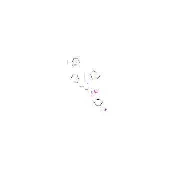 O=C(NS(=O)(=O)c1ccc([N+](=O)[O-])cc1)/C(=C/c1ccc(Oc2ccccc2I)cc1)NC(=O)c1ccccc1